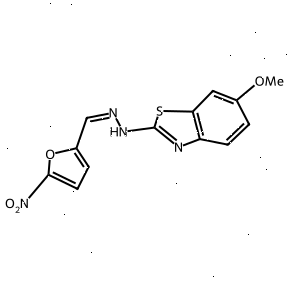 COc1ccc2nc(N/N=C\c3ccc([N+](=O)[O-])o3)sc2c1